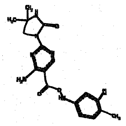 Cc1ccc(NOC(=O)c2cnc(N3CC(C)(C)NC3=O)nc2N)cc1Cl